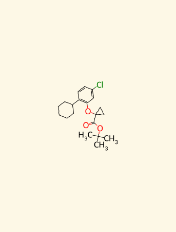 CC(C)(C)OC(=O)C1(Oc2cc(Cl)ccc2C2CCCCC2)CC1